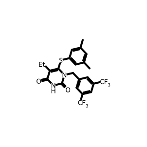 CCc1c(Sc2cc(C)cc(C)c2)n(Cc2cc(C(F)(F)F)cc(C(F)(F)F)c2)c(=O)[nH]c1=O